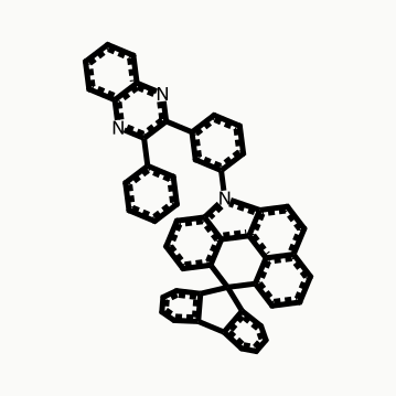 c1ccc(-c2nc3ccccc3nc2-c2cccc(-n3c4cccc5c4c4c6c(cccc6ccc43)C53c4ccccc4-c4ccccc43)c2)cc1